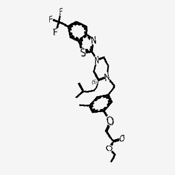 CCOC(=O)COc1cc(C)cc(CN2CCN(c3nc4ccc(C(F)(F)F)cc4s3)C[C@@H]2CC(C)C)c1